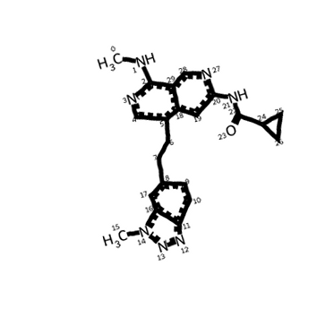 CNc1ncc(CCc2ccc3nnn(C)c3c2)c2cc(NC(=O)C3CC3)ncc12